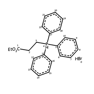 Br.CCOC(=O)CC[PH](c1ccccc1)(c1ccccc1)c1ccccc1